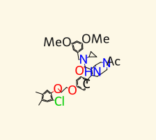 COc1cc(CN(C(=O)C2=C(c3ccc(OCCOc4cc(C)c(C)cc4Cl)cc3)CC3CN(C(C)=O)CC2N3)C2CC2)cc(OC)c1